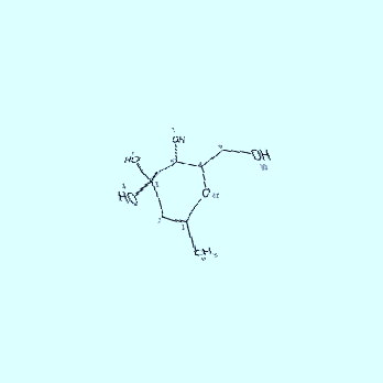 CC1CC(O)(O)C(O)C(CO)O1